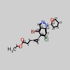 CCOC(=O)CC[C@@H]1C[C@@H]1c1c(Cl)cc2c(cnn2[C@H]2CCCCO2)c1Br